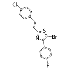 Fc1ccc(-c2nc(C=Cc3ccc(Cl)cc3)sc2Br)cc1